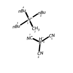 CCCC[N+](C)(CCCC)CCCC.N#C[BH-](C#N)C#N